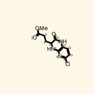 COC(=O)CCC1Nc2nc(Cl)ccc2NC1=O